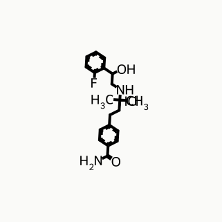 CC(C)(CCc1ccc(C(N)=O)cc1)NCC(O)c1ccccc1F.Cl